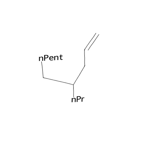 C=CCC(CCC)CCCCCC